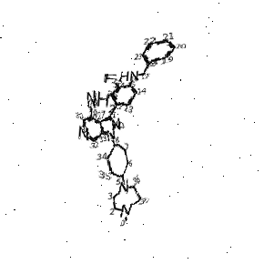 CN1CCN(C2CCC(n3nc(-c4ccc(NCc5ccccc5)c(F)c4)c4c(N)cncc43)CC2)CC1